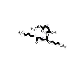 CCCCOC(=O)/C=C/C(=O)OCCCC.COC(=O)/C=C\C(=O)O